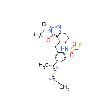 C=C/C=C\C=C(/C)c1cccc(CC2c3c(ncn(C(C)C)c3=O)CCC2NS(=O)(=O)CF)c1